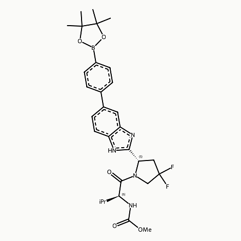 COC(=O)N[C@H](C(=O)N1CC(F)(F)C[C@H]1c1nc2cc(-c3ccc(B4OC(C)(C)C(C)(C)O4)cc3)ccc2[nH]1)C(C)C